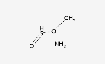 CO[SH]=O.N